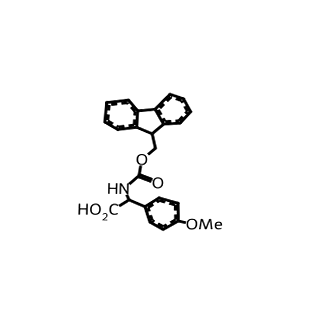 COc1ccc(C(NC(=O)OCC2c3ccccc3-c3ccccc32)C(=O)O)cc1